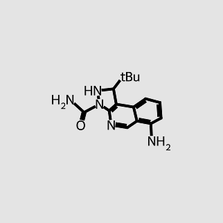 CC(C)(C)C1NN(C(N)=O)c2ncc3c(N)cccc3c21